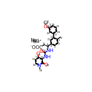 Cc1ccc([C@H](CC(=O)[O-])NC(=O)Nc2c([O-])ccn(C)c2=O)cc1-c1cccc(OC(F)(F)F)c1.[Na+].[Na+]